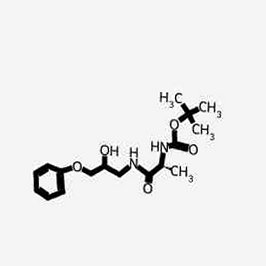 C[C@@H](NC(=O)OC(C)(C)C)C(=O)NCC(O)COc1ccccc1